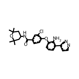 CC1(C)CC(NC(=O)c2ccc(Oc3cccc(-c4ccnnc4)c3N)c(Cl)c2)CC(C)(C)O1